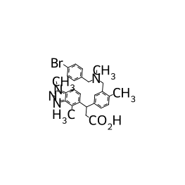 Cc1ccc(C(CC(=O)O)c2ccc3c(nnn3C)c2C)cc1CN(C)Cc1ccc(Br)cc1